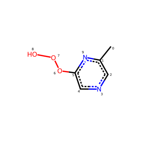 Cc1cncc(OOO)n1